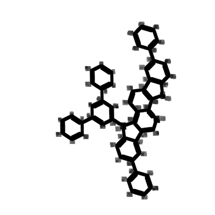 c1ccc(-c2cc(-c3ccccc3)cc(-n3c4ccc(-c5ccccc5)cc4c4cnc5c(ccc6c7cc(-c8ccccc8)ccc7sc65)c43)c2)cc1